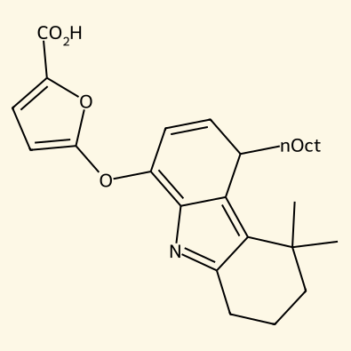 CCCCCCCCC1C=CC(Oc2ccc(C(=O)O)o2)=C2N=C3CCCC(C)(C)C3=C21